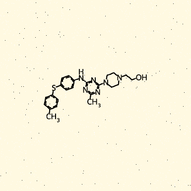 Cc1ccc(Sc2ccc(Nc3nc(C)nc(N4CCN(CCO)CC4)n3)cc2)cc1